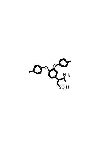 Cc1ccc(Oc2ccc(C(CS(=O)(=O)O)C(C)N)cc2Oc2ccc(C)cc2)cc1